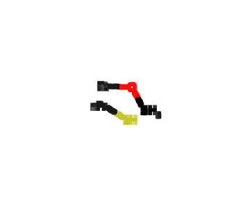 CCO[SiH3].[CH2]CCS